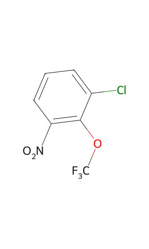 O=[N+]([O-])c1cccc(Cl)c1OC(F)(F)F